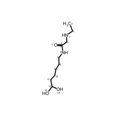 CCNCC(=O)NCCCCCC(O)O